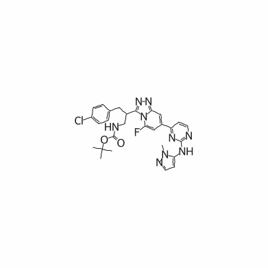 Cn1nccc1Nc1nccc(-c2cc(F)n3c(C(CNC(=O)OC(C)(C)C)Cc4ccc(Cl)cc4)nnc3c2)n1